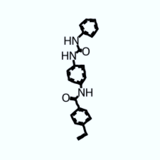 C=Cc1ccc(C(=O)Nc2ccc(NC(=O)Nc3ccccc3)cc2)cc1